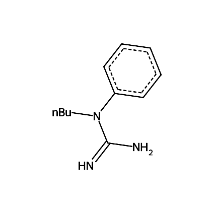 CCCCN(C(=N)N)c1ccccc1